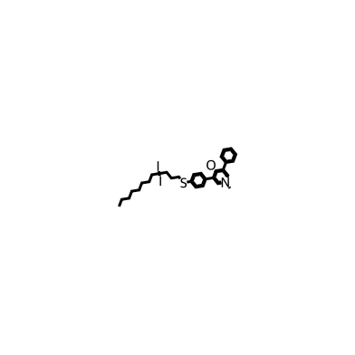 CCCCCCCCC(I)(I)CCCSc1ccc(-c2cn(C)cc(-c3ccccc3)c2=O)cc1